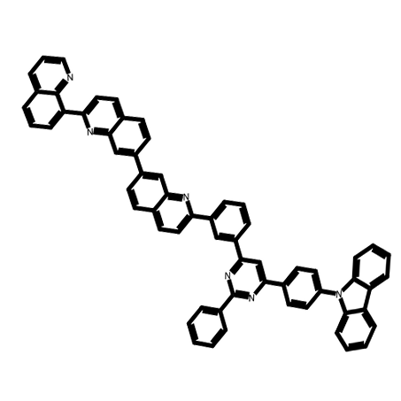 c1ccc(-c2nc(-c3ccc(-n4c5ccccc5c5ccccc54)cc3)cc(-c3cccc(-c4ccc5ccc(-c6ccc7ccc(-c8cccc9cccnc89)nc7c6)cc5n4)c3)n2)cc1